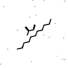 C=CC(=C)C.CCCCCCCCCCC